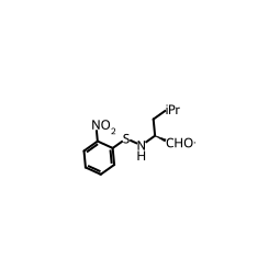 CC(C)C[C@@H]([C]=O)NSc1ccccc1[N+](=O)[O-]